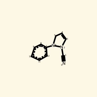 N#CN1C=CCN1c1ccccc1